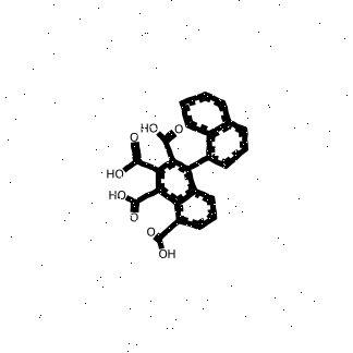 O=C(O)c1c(C(=O)O)c(C(=O)O)c2c(C(=O)O)cccc2c1-c1cccc2ccccc12